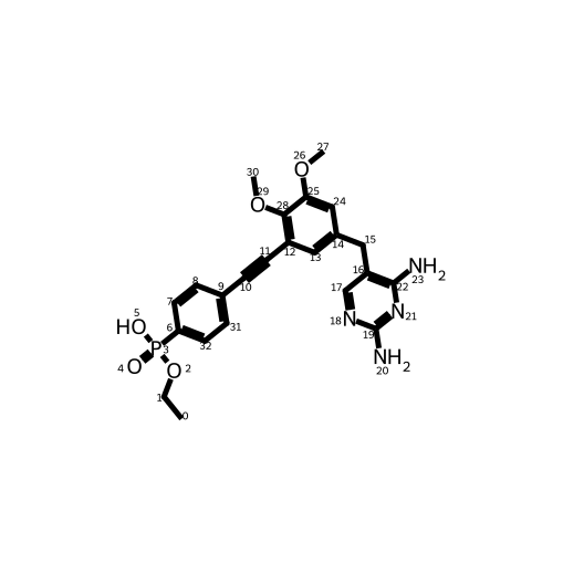 CCOP(=O)(O)c1ccc(C#Cc2cc(Cc3cnc(N)nc3N)cc(OC)c2OC)cc1